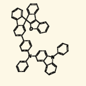 c1ccc(N(c2ccc(-c3ccc4c(c3)C3(c5ccccc5-4)c4ccccc4-c4c3oc3ccccc43)cc2)c2ccc3c(c2)c2ccccc2n3-c2ccccc2)cc1